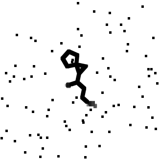 NCCC([O])C1CC12CCCC2